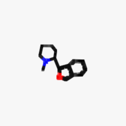 CN1CCCCC1c1occ2ccccc12